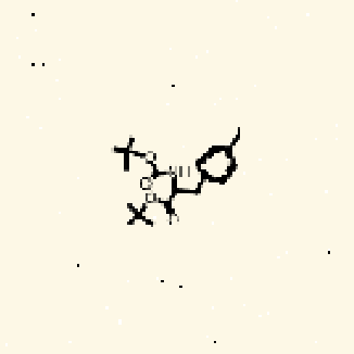 CC(C)(C)OC(=O)NC(Cc1ccc(I)cc1)C(=O)OC(C)(C)C